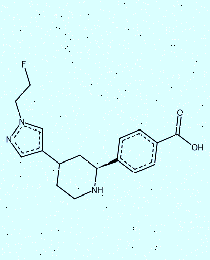 O=C(O)c1ccc([C@@H]2CC(c3cnn(CCF)c3)CCN2)cc1